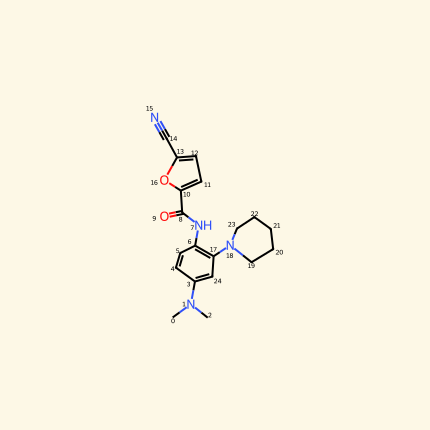 CN(C)c1ccc(NC(=O)c2ccc(C#N)o2)c(N2CCCCC2)c1